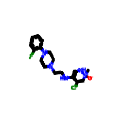 C[N+]1([O-])C=C(Cl)C(NCCN2CCN(c3ccccc3F)CC2)=CN1